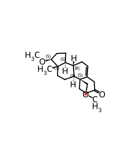 COC[C@]12CCC(=O)CC1=CC[C@@H]1[C@@H]2CC[C@]2(C)[C@@H](OC)CC[C@@H]12